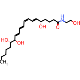 CCCCC[C@H](O)[C@H](O)/C=C/C=C/C=C\C=C\[C@@H](O)CCCC(=O)NCCO